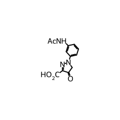 CC(=O)Nc1cccc(N2CC(=O)C(C(=O)O)=N2)c1